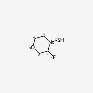 FC1COCCN1S